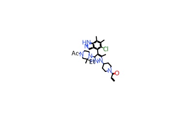 C=CC(=O)N1CCC(N2NC(N3CCN(C(C)=O)C[C@]3(C)CC)C(c3c(Cl)c(C)c(C)c4[nH]ncc34)=C2C)CC1